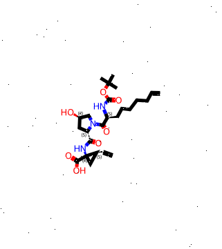 C=CCCCCC[C@H](NC(=O)OC(C)(C)C)C(=O)N1C[C@H](O)C[C@H]1C(=O)N[C@]1(C(=O)O)C[C@H]1C=C